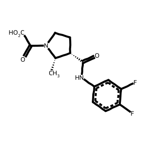 C[C@H]1[C@@H](C(=O)Nc2ccc(F)c(F)c2)CCN1C(=O)C(=O)O